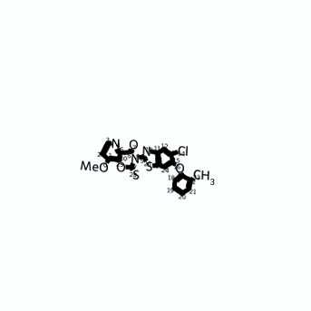 COc1ccnc2c(=O)n(-c3nc4cc(Cl)c(Oc5ccccc5C)cc4s3)c(=S)oc12